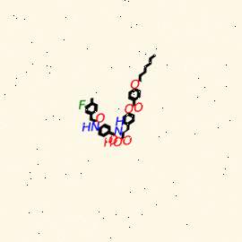 CCCCCCCOc1ccc(C(=O)Oc2ccc(C[C@H](NC(=O)c3ccc(NC(=O)Cc4ccc(C)c(F)c4)cc3)C(=O)O)cc2)cc1